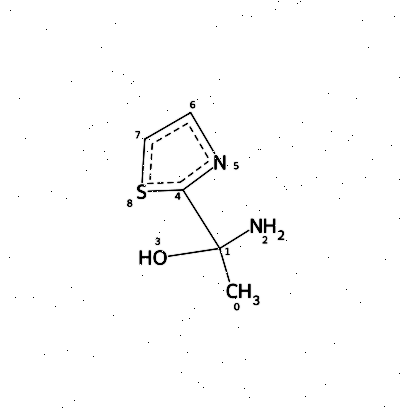 CC(N)(O)c1nccs1